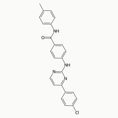 Cc1ccc(NC(=O)c2ccc(Nc3nccc(-c4ccc(Cl)cc4)n3)cc2)cc1